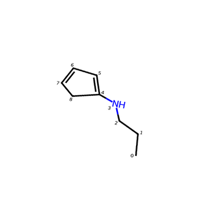 CCCNC1=CC=CC1